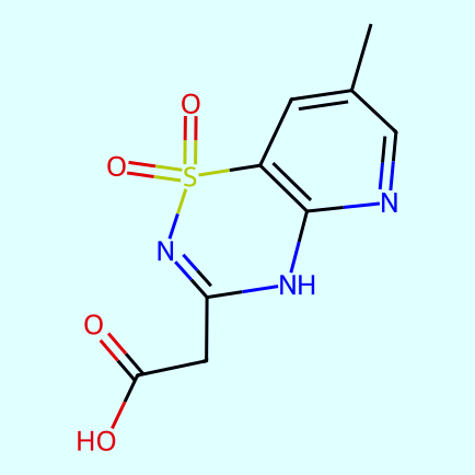 Cc1cnc2c(c1)S(=O)(=O)N=C(CC(=O)O)N2